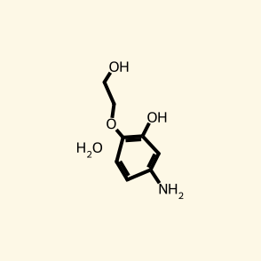 Nc1ccc(OCCO)c(O)c1.O